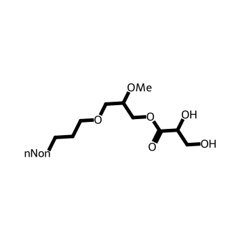 CCCCCCCCCCCCOCC(COC(=O)C(O)CO)OC